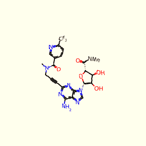 CNC(=O)[C@H]1O[C@@H](n2cnc3c(N)nc(C#CCN(C)C(=O)c4ccc(C(F)(F)F)nc4)nc32)C(O)[C@@H]1O